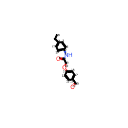 CCc1ccc(NC(=O)COc2ccc(C=O)cc2)cc1